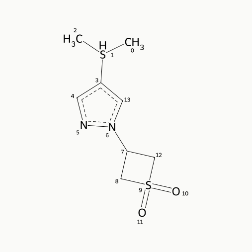 C[SH](C)c1cnn(C2CS(=O)(=O)C2)c1